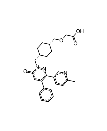 Cc1ccc(-c2nn(C[C@H]3CC[C@@H](COCC(=O)O)CC3)c(=O)cc2-c2ccccc2)cn1